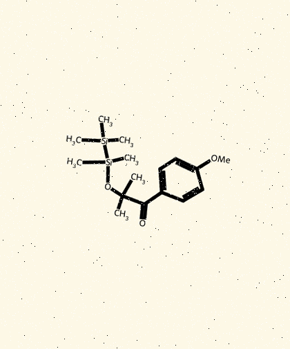 COc1ccc(C(=O)C(C)(C)O[Si](C)(C)[Si](C)(C)C)cc1